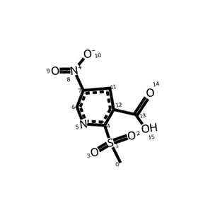 CS(=O)(=O)c1ncc([N+](=O)[O-])cc1C(=O)O